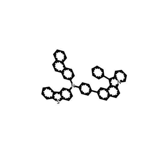 c1ccc(-c2c3c4cc(-c5ccc(N(c6ccc7c(ccc8ccccc87)c6)c6ccc7sc8ccccc8c7c6)cc5)ccc4ccc3n3ccccc23)cc1